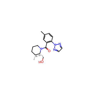 Cc1ccc(-n2nccn2)c(C(=O)N2CCC[C@@H](C)[C@H]2CO)c1